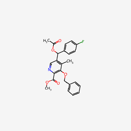 COC(=O)c1ncc(C(OC(C)=O)c2ccc(F)cc2)c(C)c1OCc1ccccc1